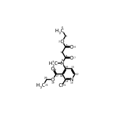 CCOC(=O)CC(=O)N(C)c1ccnc(Cl)c1C(=O)OCC